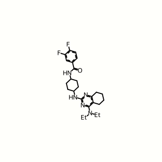 CCN(CC)c1nc(NC2CCC(NC(=O)c3ccc(F)c(F)c3)CC2)nc2c1CCCC2